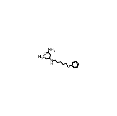 CCC(CC(N)=O)NCCC[CH]COc1ccccc1